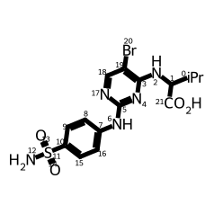 CC(C)C(Nc1nc(Nc2ccc(S(N)(=O)=O)cc2)ncc1Br)C(=O)O